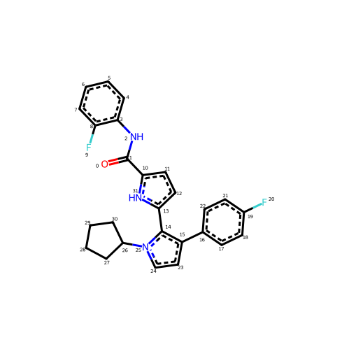 O=C(Nc1ccccc1F)c1ccc(-c2c(-c3ccc(F)cc3)ccn2C2CCCC2)[nH]1